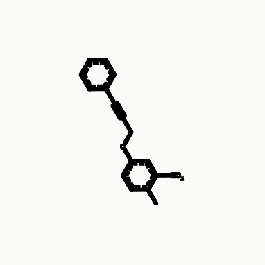 Cc1ccc(OCC#Cc2ccccc2)cc1[N+](=O)[O-]